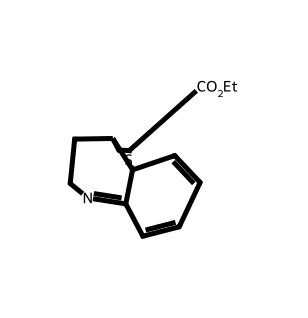 CCOC(=O)C1CC2CCN=C3C=CC=CC32S1